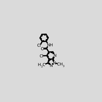 Cc1nn(C)c2ncc(C(=O)Nc3ccccc3Cl)c(Cl)c12